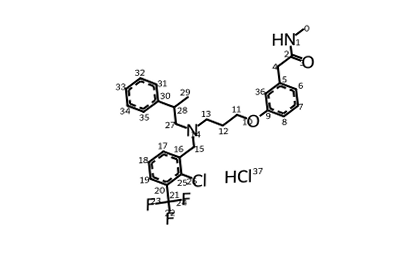 CNC(=O)Cc1cccc(OCCCN(Cc2cccc(C(F)(F)F)c2Cl)CC(C)c2ccccc2)c1.Cl